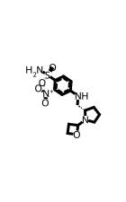 NS(=O)(=O)c1ccc(NC[C@@H]2CCCN2C2CCO2)cc1[N+](=O)[O-]